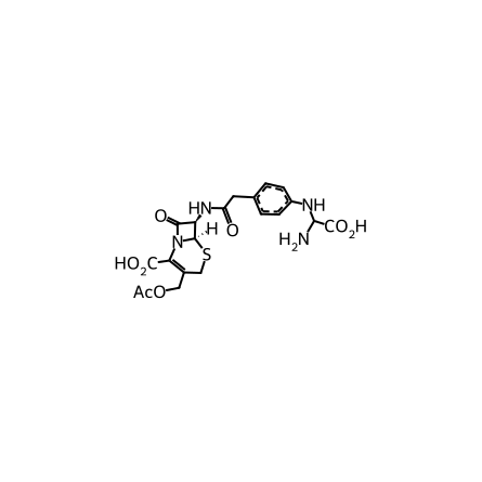 CC(=O)OCC1=C(C(=O)O)N2C(=O)[C@@H](NC(=O)Cc3ccc(NC(N)C(=O)O)cc3)[C@H]2SC1